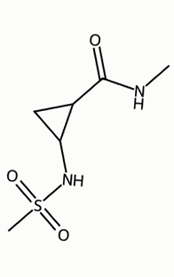 CNC(=O)C1CC1NS(C)(=O)=O